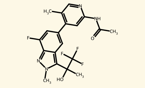 CC(=O)Nc1cc(-c2cc(F)c3nn(C)c(C(C)(O)C(F)(F)F)c3c2)c(C)cn1